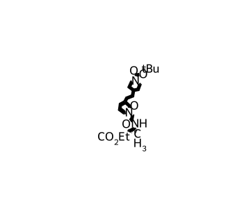 CCOC(=O)C[C@@H](C)NC(=O)Cn1cccc(CCC2CCN(C(=O)OC(C)(C)C)CC2)c1=O